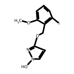 COc1cccc(I)c1COc1ccn(O)n1